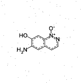 Nc1cc2ccn[n+]([O-])c2cc1O